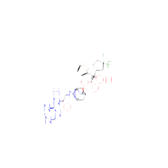 O=C(C[N+]12CCC(CC1)C(OC(=O)[C@@](O)(c1cccs1)C1CCC(F)(F)C1)C2)Nc1ncncn1